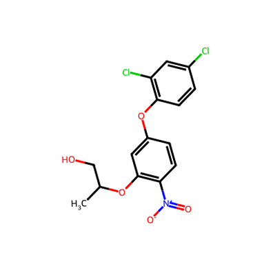 CC(CO)Oc1cc(Oc2ccc(Cl)cc2Cl)ccc1[N+](=O)[O-]